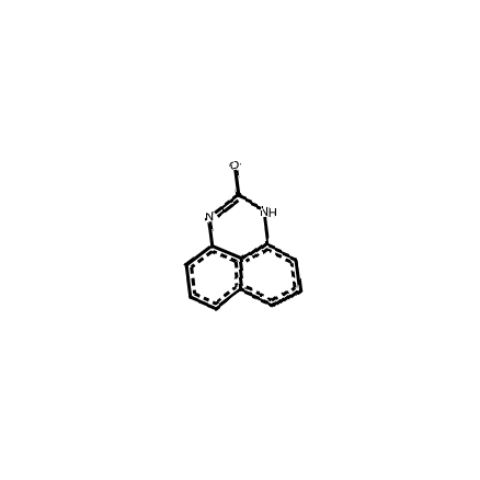 [O]C1=Nc2cccc3cccc(c23)N1